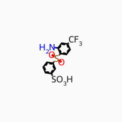 Nc1cc(C(F)(F)F)ccc1S(=O)(=O)c1cccc(S(=O)(=O)O)c1